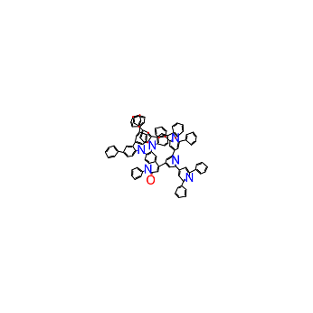 O=c1cc(-c2cc(-c3cc(-c4ccccc4)nc(-c4ccccc4)c3)nc(-c3cc(-c4ccccc4)nc(-c4ccccc4)c3)c2)c2cc(-n3c4ccc(-c5ccccc5)cc4c4cc(-c5ccccc5)ccc43)c(-n3c4ccc(-c5ccccc5)cc4c4cc(-c5ccccc5)ccc43)cc2n1-c1ccccc1